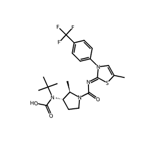 Cc1cn(-c2ccc(C(F)(F)F)cc2)c(=NC(=O)N2CC[C@H](N(C(=O)O)C(C)(C)C)[C@H]2C)s1